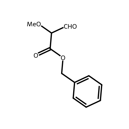 COC(C=O)C(=O)OCc1ccccc1